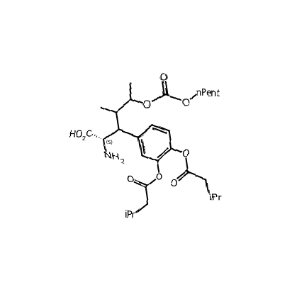 CCCCCOC(=O)OC(C)C(C)C(c1ccc(OC(=O)CC(C)C)c(OC(=O)CC(C)C)c1)[C@H](N)C(=O)O